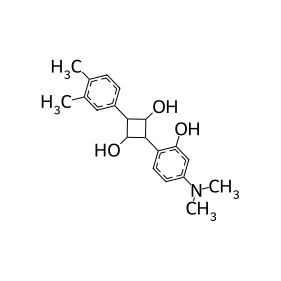 Cc1ccc(C2C(O)C(c3ccc(N(C)C)cc3O)C2O)cc1C